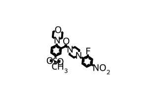 CS(=O)(=O)c1ccc(N2CCOCC2)c(C(=O)N2CCN(c3ccc([N+](=O)[O-])cc3F)CC2)c1